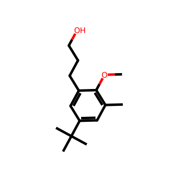 COc1c(C)cc(C(C)(C)C)cc1CCCO